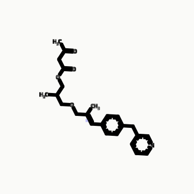 CC(=O)CC(=O)OCC(C)COC/C(C)=C/c1ccc(Cc2cccnc2)cc1